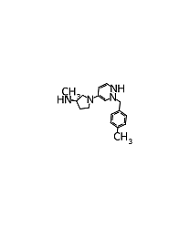 CN[C@@H]1CCN(C2=CN(Cc3ccc(C)cc3)NC=C2)C1